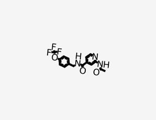 CC(=O)Nc1cc(C(=O)NCc2ccc(OC(F)(F)F)cc2)ccn1